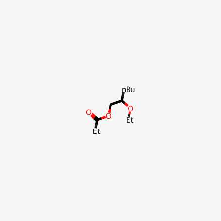 CCCCC(COC(=O)CC)OCC